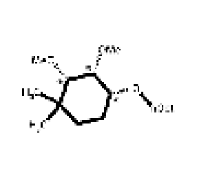 CCCCCCCCO[C@@H]1CCC(C)(C)[C@H](OC)[C@@H]1OC